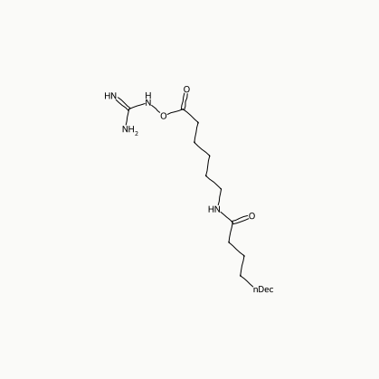 CCCCCCCCCCCCCC(=O)NCCCCCC(=O)ONC(=N)N